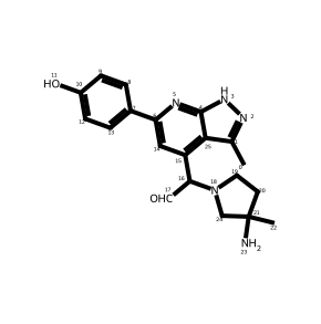 Cc1n[nH]c2nc(-c3ccc(O)cc3)cc(C(C=O)N3CCC(C)(N)C3)c12